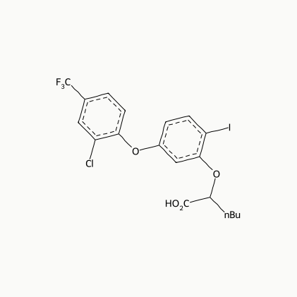 CCCCC(Oc1cc(Oc2ccc(C(F)(F)F)cc2Cl)ccc1I)C(=O)O